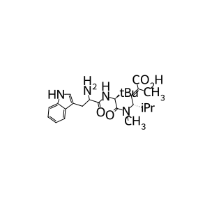 C/C(=C\[C@H](C(C)C)N(C)C(=O)[C@@H](NC(=O)C(N)Cc1c[nH]c2ccccc12)C(C)(C)C)C(=O)O